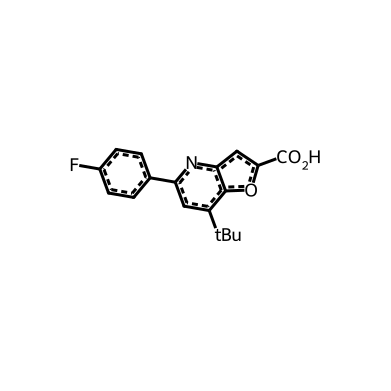 CC(C)(C)c1cc(-c2ccc(F)cc2)nc2cc(C(=O)O)oc12